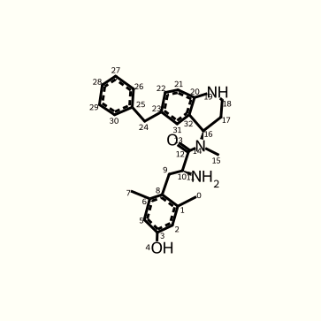 Cc1cc(O)cc(C)c1C[C@H](N)C(=O)N(C)[C@@H]1CCNc2ccc(Cc3ccccc3)cc21